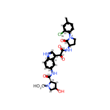 Cc1ccc(N2CCC(NC(=O)C(=O)c3c[nH]c4ccc(NC(=O)[C@H]5CC(O)CN5C(=O)O)cc34)C2=O)c(Cl)c1